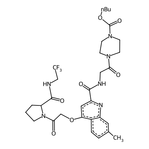 CCCCOC(=O)N1CCN(C(=O)CNC(=O)c2cc(OCC(=O)N3CCCC3C(=O)NCC(F)(F)F)c3ccc(C)cc3n2)CC1